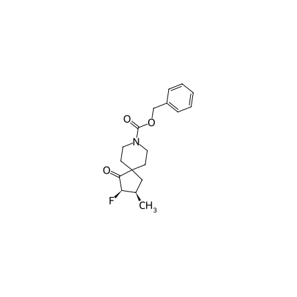 C[C@@H]1CC2(CCN(C(=O)OCc3ccccc3)CC2)C(=O)[C@@H]1F